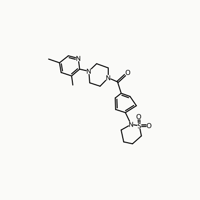 Cc1cnc(N2CCN(C(=O)c3ccc(N4CCCCS4(=O)=O)cc3)CC2)c(C)c1